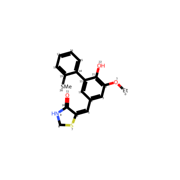 CCOc1cc(C=C2SCNC2=O)cc(-c2ccccc2SC)c1O